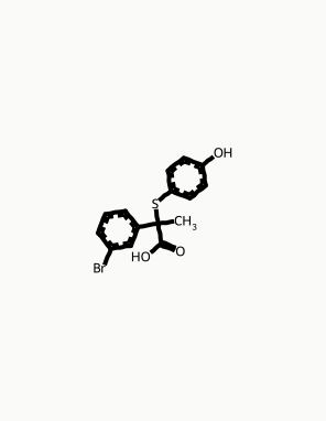 CC(Sc1ccc(O)cc1)(C(=O)O)c1cccc(Br)c1